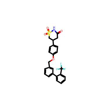 O=C1CC(c2ccc(OCc3cccc(-c4ccccc4C(F)(F)F)c3)cc2)CS(=O)(=O)N1